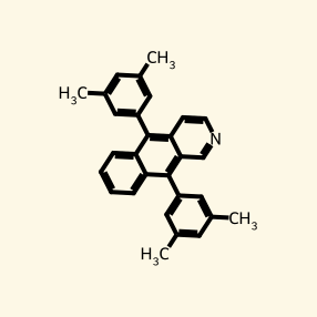 Cc1cc(C)cc(-c2c3ccccc3c(-c3cc(C)cc(C)c3)c3cnccc23)c1